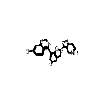 Clc1cc2c(c(-c3ncnc4cc(Cl)ccc34)c1)O[C@@H](c1onc3c1CNCC3)C2